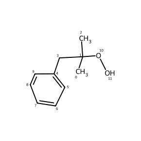 CC(C)(Cc1ccccc1)OO